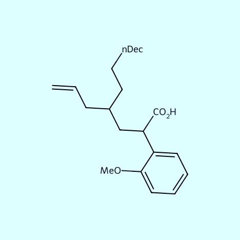 C=CCC(CCCCCCCCCCCC)CC(C(=O)O)c1ccccc1OC